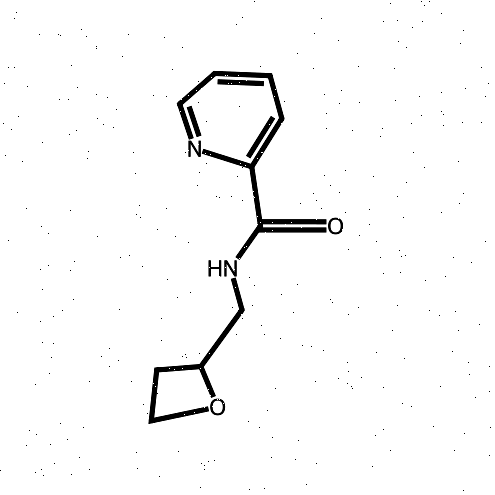 O=C(NCC1CCO1)c1ccccn1